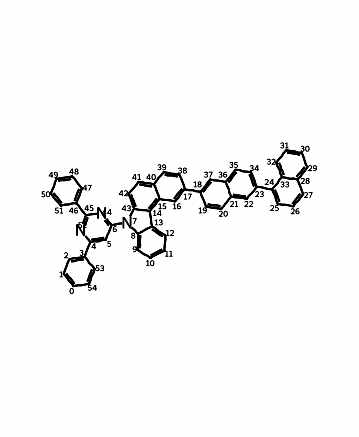 c1ccc(-c2cc(-n3c4ccccc4c4c5cc(-c6ccc7cc(-c8cccc9ccccc89)ccc7c6)ccc5ccc43)nc(-c3ccccc3)n2)cc1